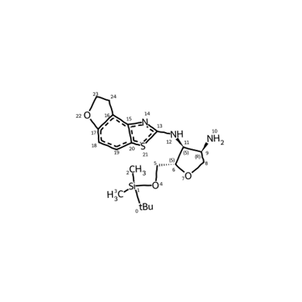 CC(C)(C)[Si](C)(C)OC[C@H]1OC[C@H](N)[C@@H]1Nc1nc2c3c(ccc2s1)OCC3